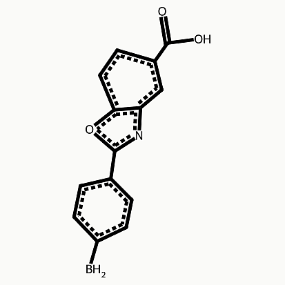 Bc1ccc(-c2nc3cc(C(=O)O)ccc3o2)cc1